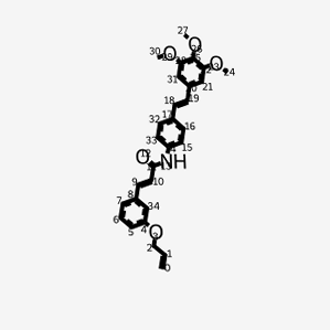 C=CCOc1cccc(/C=C/C(=O)Nc2ccc(/C=C/c3cc(OC)c(OC)c(OC)c3)cc2)c1